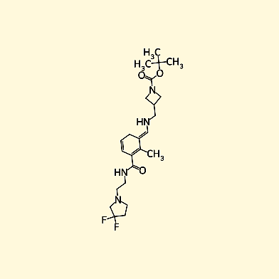 CC1=C(C(=O)NCCN2CCC(F)(F)C2)C=CC/C1=C\NCC1CN(C(=O)OC(C)(C)C)C1